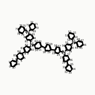 c1ccc(-c2ccc(-c3ccc(N(c4ccc(-c5ccc(-c6ccc(N(c7ccc(-c8ccccc8)cc7)c7ccc(N(c8ccccc8)c8ccccc8)cc7)cc6)cc5)cc4)c4ccc(N(c5ccccc5)c5ccccc5)cc4)cc3)cc2)cc1